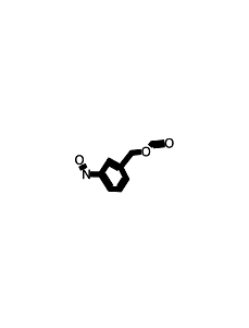 O=COCc1cccc(N=O)c1